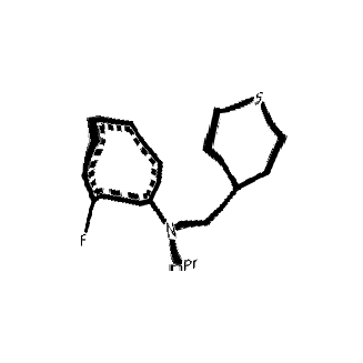 CCCN(CC1CCSCC1)c1ccccc1F